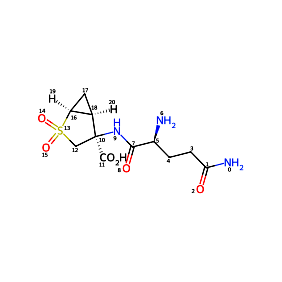 NC(=O)CC[C@H](N)C(=O)N[C@@]1(C(=O)O)CS(=O)(=O)[C@H]2C[C@H]21